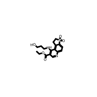 CCOC(=O)c1cnc2ccc3c(c2c1NCCCO)CCS3(=O)=O